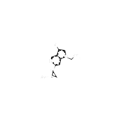 CC(C)[C@H]1C[C@@H]1c1cc2c(cn1)c(F)cn2CC(F)(F)F